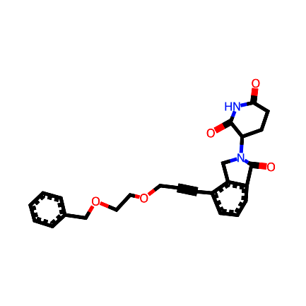 O=C1CCC(N2Cc3c(C#CCOCCOCc4ccccc4)cccc3C2=O)C(=O)N1